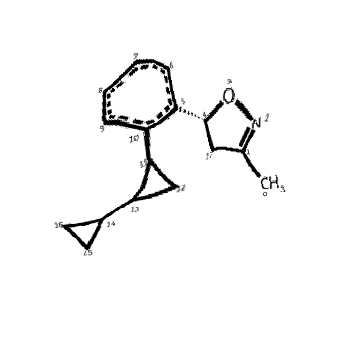 CC1=NO[C@@H](c2ccccc2C2CC2C2CC2)C1